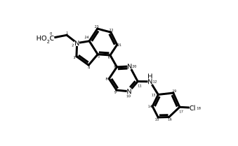 O=C(O)Cn1ccc2c(-c3ccnc(Nc4cccc(Cl)c4)n3)cccc21